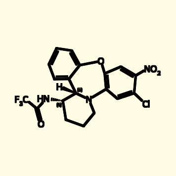 O=C(N[C@H]1CCCN2c3cc(Cl)c([N+](=O)[O-])cc3Oc3ccccc3[C@@H]12)C(F)(F)F